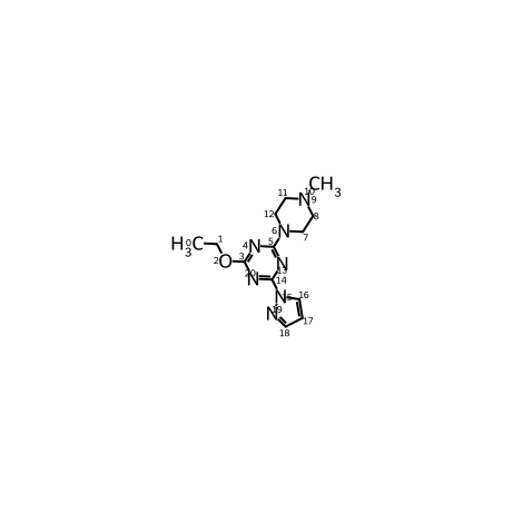 CCOc1nc(N2CCN(C)CC2)nc(-n2cccn2)n1